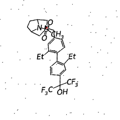 CCc1cc(CN2CC3CCC(C2)N3S(C)(=O)=O)ccc1-c1ccc(C(O)(C(F)(F)F)C(F)(F)F)cc1CC